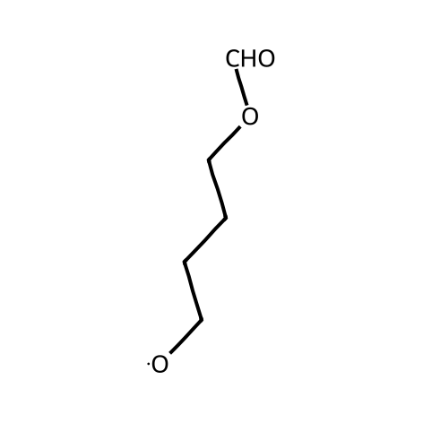 [O]CCCCOC=O